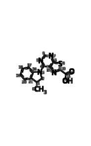 CC1CN(c2ncnc3sc(C(=O)O)nc23)c2ccccc21